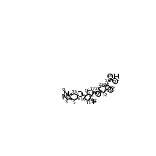 Cn1ncc2ccc(Oc3ccc(F)c4c3CC[C@H]4Oc3ccc4c(CC(=O)O)coc4c3)cc21